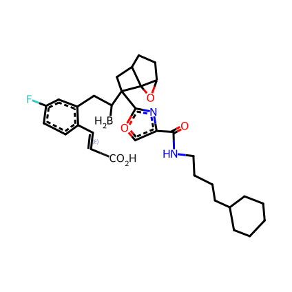 BC(Cc1cc(F)ccc1/C=C/C(=O)O)C1(c2nc(C(=O)NCCCCC3CCCCC3)co2)CC2CCC3OC231